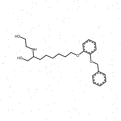 OCCNC(CO)CCCCCCOc1ccccc1OCc1ccccc1